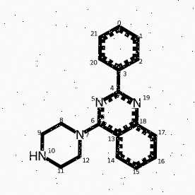 c1ccc(-c2nc(N3CCNCC3)c3ccccc3n2)cc1